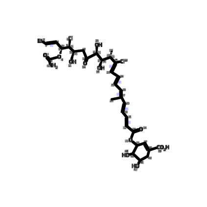 CC/C=C/[C@@H](OC(N)=O)[C@@H](Cl)[C@H](O)CC(=O)[C@@H](O)[C@H](O)[C@H](C)/C(Cl)=C/C=C/C=C(C)/C=C/C=C/C(=O)OC1C=C(C(=O)O)CC(O)C1O